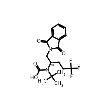 CC(C)(C)N(C(=O)O)[C@H](CCC(F)(F)F)CN1C(=O)c2ccccc2C1=O